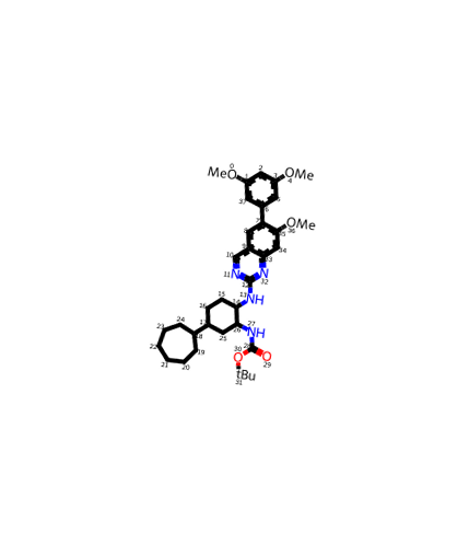 COc1cc(OC)cc(-c2cc3cnc(NC4CCC(C5CCCCCC5)CC4NC(=O)OC(C)(C)C)nc3cc2OC)c1